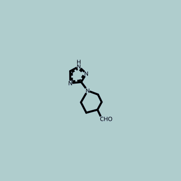 O=CC1CCN(c2nc[nH]n2)CC1